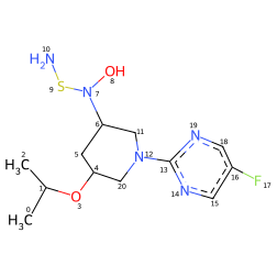 CC(C)OC1CC(N(O)SN)CN(c2ncc(F)cn2)C1